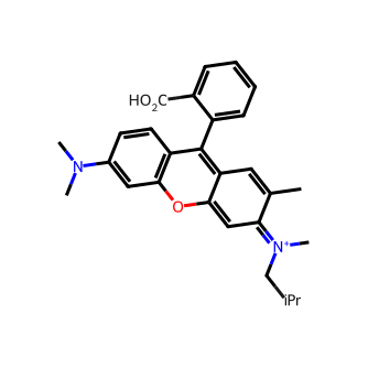 Cc1cc2c(-c3ccccc3C(=O)O)c3ccc(N(C)C)cc3oc-2c/c1=[N+](/C)CC(C)C